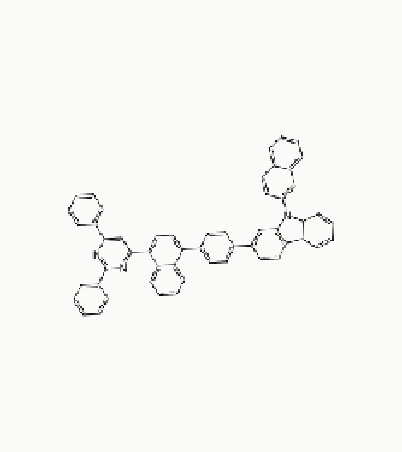 C1=CC2c3ccc(-c4ccc(-c5ccc(-c6cc(-c7ccccc7)nc(-c7ccccc7)n6)c6ccccc56)cc4)cc3N(c3ccc4ccccc4c3)C2C=C1